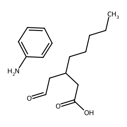 CCCCCC(CC=O)CC(=O)O.Nc1ccccc1